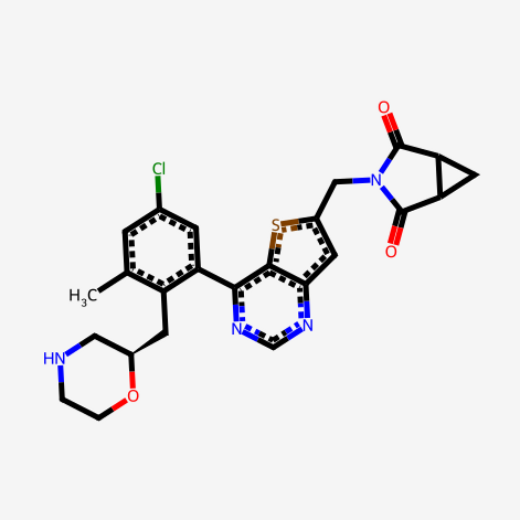 Cc1cc(Cl)cc(-c2ncnc3cc(CN4C(=O)C5CC5C4=O)sc23)c1C[C@@H]1CNCCO1